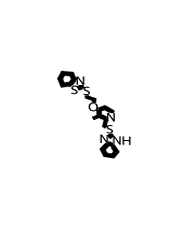 Cc1c(OCCSc2nc3ccccc3s2)ccnc1CSc1nc2ccccc2[nH]1